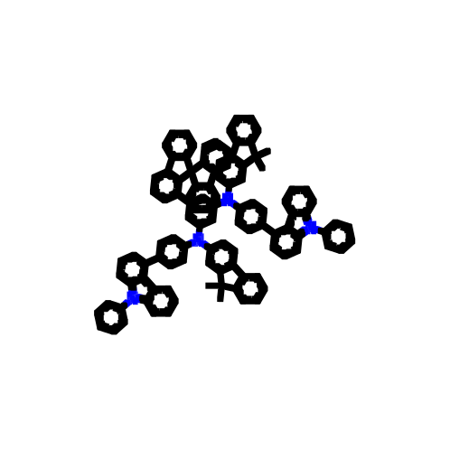 CC1(C)c2ccccc2-c2ccc(N(c3ccc(-c4cccc5c4c4ccccc4n5-c4ccccc4)cc3)c3cc(-c4cccc5c4C4(c6c#cccc6-c6ccccc64)c4ccccc4-5)cc(N(c4ccc(-c5cccc6c5c5ccccc5n6-c5ccccc5)cc4)c4ccc5c(c4)C(C)(C)c4ccccc4-5)c3)cc21